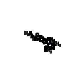 B[C@H]1C[C@H]1C(=O)Nc1cc2cc(/C(C(=N)OC)=C(\C)NC)n(C)c2cn1